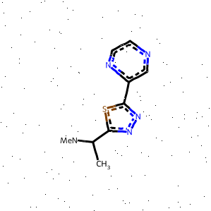 CNC(C)c1nnc(-c2cnccn2)s1